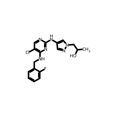 CC(O)Cn1cc(Nc2ncc(Cl)c(NCc3ccccc3F)n2)cn1